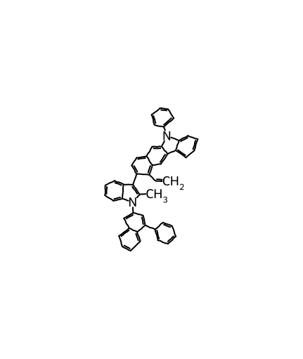 C=Cc1c(-c2c(C)n(-c3cc(-c4ccccc4)c4ccccc4c3)c3ccccc23)ccc2cc3c(cc12)c1ccccc1n3-c1ccccc1